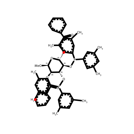 CO[C@H]1O[C@H](COC(=O)c2ccccc2)[C@@H](OP(c2cc(C)cc(C)c2)c2cc(C)cc(C)c2)[C@H](OP(c2cc(C)cc(C)c2)c2cc(C)cc(C)c2)[C@H]1OC(=O)c1ccccc1